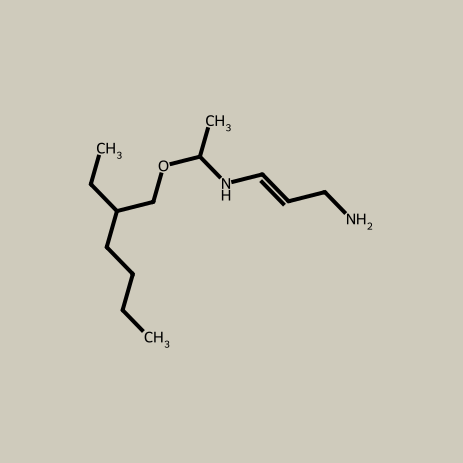 CCCCC(CC)COC(C)NC=CCN